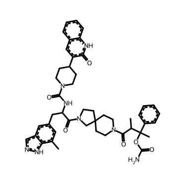 Cc1cc(CC(NC(=O)N2CCC(c3cc4ccccc4[nH]c3=O)CC2)C(=O)N2CCC3(CCN(C(=O)C(C)C(C)(OC(N)=O)c4ccccc4)CC3)C2)cc2cn[nH]c12